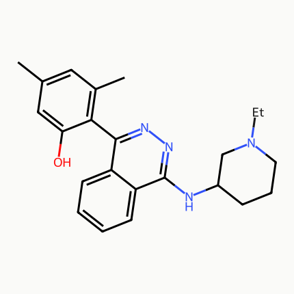 CCN1CCCC(Nc2nnc(-c3c(C)cc(C)cc3O)c3ccccc23)C1